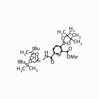 COC(=O)c1nc(C(=O)NC[C@H](CO[Si](C)(C)C(C)(C)C)O[Si](C)(C)C(C)(C)C)ccc1B1OC(C)(C)C(C)(C)O1